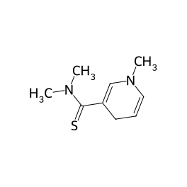 CN1C=CCC(C(=S)N(C)C)=C1